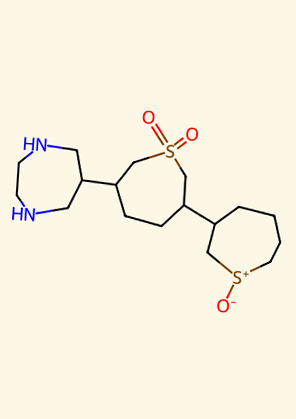 O=S1(=O)CC(C2CNCCNC2)CCC(C2CCCC[S+]([O-])C2)C1